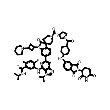 Cc1cc(F)c(Nc2nc(-c3ccc4c(c3)N(C3CC(N5CCCCC5)C3)C(=O)C43CCN(C(=O)[C@@H]4CCN(C(=O)C5CCC(Nc6ccc7c(c6)C(=O)N(C6CCC(=O)NC6=O)C7=O)CC5)C4)CC3)cc3ncn(C(C)C)c23)cc1C(=O)NC(C)C